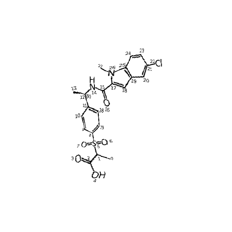 CC(C(=O)O)S(=O)(=O)c1ccc([C@@H](C)NC(=O)c2cc3cc(Cl)ccc3n2C)cc1